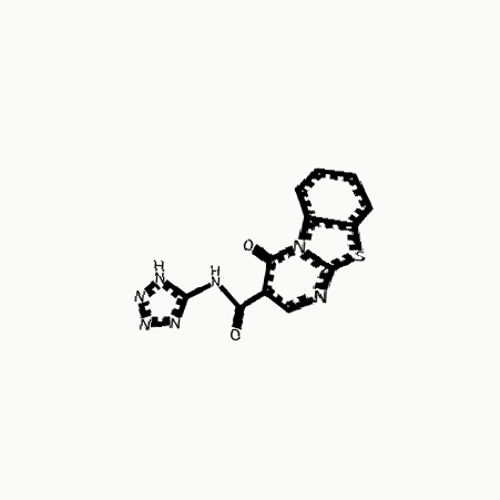 O=C(Nc1nnn[nH]1)c1cnc2sc3ccccc3n2c1=O